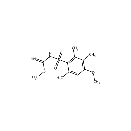 COc1cc(C)c(S(=O)(=O)NC(=N)SC)c(C)c1C